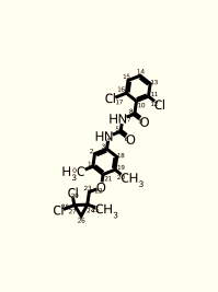 Cc1cc(NC(=O)NC(=O)c2c(Cl)cccc2Cl)cc(C)c1OCC1(C)CC1(Cl)Cl